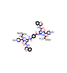 CN[C@@H](C)C(=O)N[C@H](C(=O)N1C[C@@H](NC(=O)c2ccc(C(=O)N[C@H]3C[C@@H](C(=O)N[C@@H]4CCOc5ccccc54)N(C(=O)[C@@H](NC(=O)[C@H](C)NC)C4CCN(C(C)=O)CC4)C3)cc2)C[C@H]1C(=O)N[C@@H]1CCOc2ccccc21)C1CCN(C(C)=O)CC1